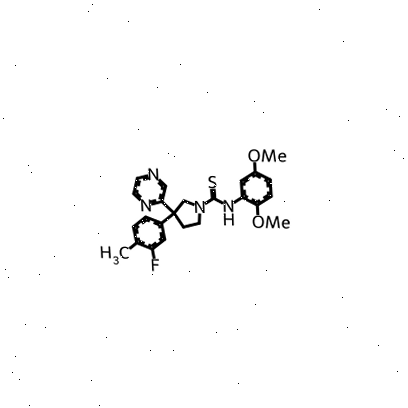 COc1ccc(OC)c(NC(=S)N2CCC(c3ccc(C)c(F)c3)(c3cnccn3)C2)c1